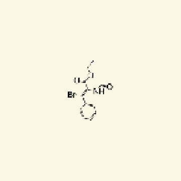 CCOC(=O)C(NC=O)=C(Br)c1ccccc1